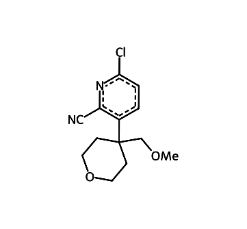 COCC1(c2ccc(Cl)nc2C#N)CCOCC1